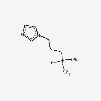 CCCCC(C)(CC)CCCn1ccnc1